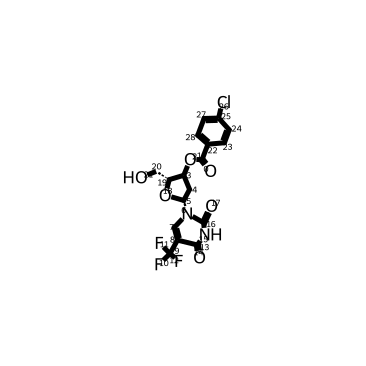 O=C(OC1C[C@H](n2cc(C(F)(F)F)c(=O)[nH]c2=O)O[C@@H]1CO)c1ccc(Cl)cc1